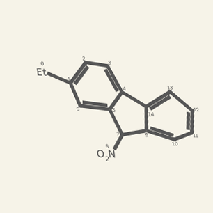 CCc1ccc2c(c1)C([N+](=O)[O-])c1ccccc1-2